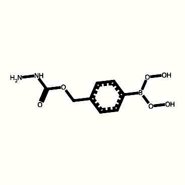 NNC(=O)OCc1ccc(B(OO)OO)cc1